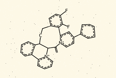 C=C1C2C(CCc3ccc(F)c(F)c3-c3cc(-c4ccccc4)cc[n+]31)c1ccccc1-c1cccc[n+]12